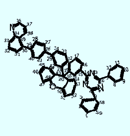 c1ccc(-c2nc(-c3ccccc3)nc(-c3cccc(C4(c5cccc(-c6ccc(-c7cccc8ncccc78)cc6)c5)c5ccccc5Oc5ccccc54)c3)n2)cc1